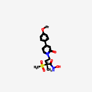 CC(C)Oc1ccc(-c2ccn(CC[C@](C)(C(=O)NO)S(C)(=O)=O)c(=O)c2)cc1